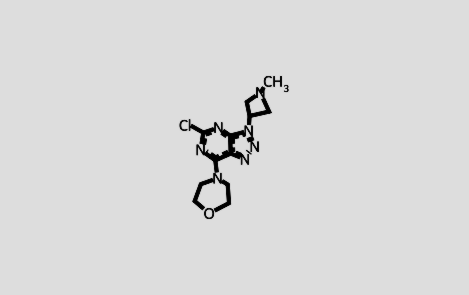 CN1CC(n2nnc3c(N4CCOCC4)nc(Cl)nc32)C1